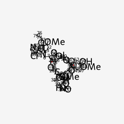 COc1ccc(N(CCS[C@@H]2C(=O)O[C@@]3(C)[C@H]2[C@@H](C)C(=O)[C@H](C)C[C@@](C)(OC)[C@H](O[C@@H]2O[C@H](C)C[C@H]4[C@H]2OC(=O)N4C)[C@@H](C)[C@H](O[C@H]2C[C@@](C)(OC)[C@@H](O)[C@H](C)O2)[C@@H](C)C(=O)O[C@@H]3I)Cc2c(Cl)cncc2Cl)cc1OCC1CC1